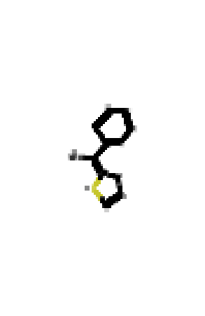 N#CC(=C1CC=CS1)c1ccccc1